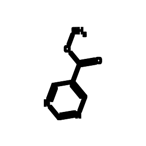 O=C(O[SiH3])c1cncnc1